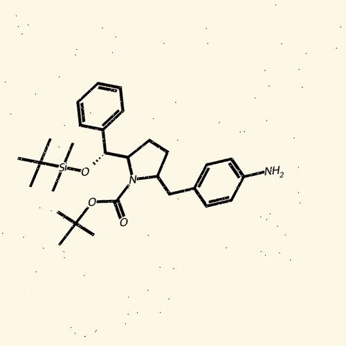 CC(C)(C)OC(=O)N1C(Cc2ccc(N)cc2)CCC1[C@H](O[Si](C)(C)C(C)(C)C)c1ccccc1